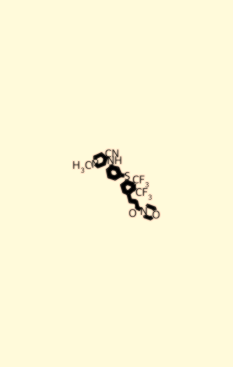 CN1CCC(C#N)(Nc2cccc(Sc3ccc(/C=C/C(=O)N4CCOCC4)c(C(F)(F)F)c3C(F)(F)F)c2)CC1